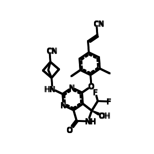 Cc1cc(/C=C/C#N)cc(C)c1Oc1nc(NC23CC(C#N)(C2)C3)nc2c1[C@](O)(C(F)F)NC2=O